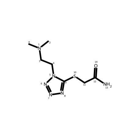 CN(C)CCn1nnnc1SCC(N)=O